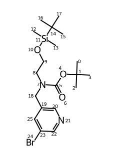 CC(C)(C)OC(=O)N(CCO[Si](C)(C)C(C)(C)C)Cc1cncc(Br)c1